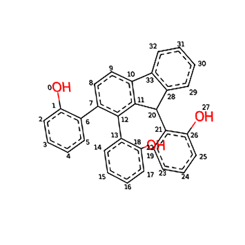 Oc1ccccc1-c1ccc2c(c1-c1ccccc1O)C(c1ccccc1O)c1ccccc1-2